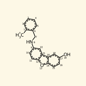 Cc1ccccc1CNc1ccc2oc3ccc(O)cc3c2c1